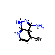 CC(C)c1ccnc2[nH]nc(N)c12